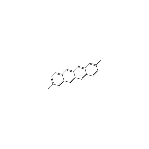 Cc1ccc2cc3cc4cc(C)ccc4cc3cc2c1